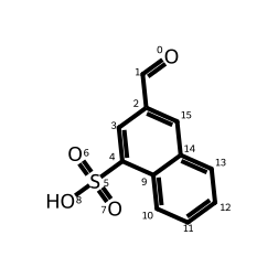 O=Cc1cc(S(=O)(=O)O)c2ccccc2c1